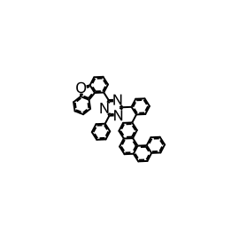 c1ccc(-c2nc(-c3ccccc3-c3ccc4ccc5ccc6ccccc6c5c4c3)nc(-c3cccc4oc5ccccc5c34)n2)cc1